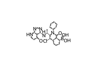 C[C@H](Nc1ncnc2[nH]ccc(=O)c12)c1c(Cl)c2cccc(B(O)O)c2c(=O)n1-c1ccccc1